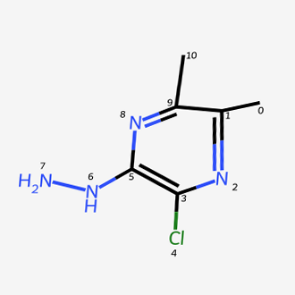 Cc1nc(Cl)c(NN)nc1C